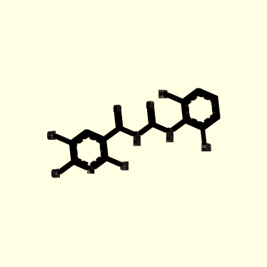 CCc1cccc(CC)c1NC(=O)NC(=O)c1cc(Cl)c(Cl)nc1Cl